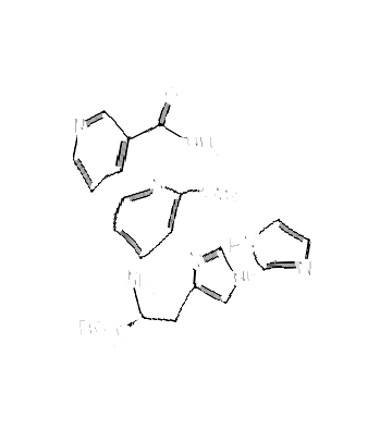 CCOC(=O)[C@@H](N)Cc1c[nH]cn1.COc1ccccn1.NC(=O)c1cccnc1.c1c[nH]cn1